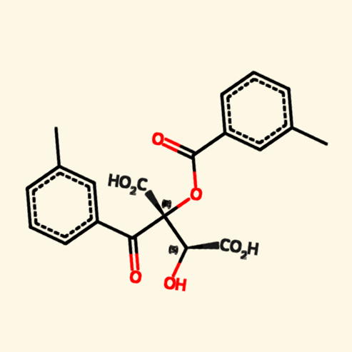 Cc1cccc(C(=O)O[C@@](C(=O)O)(C(=O)c2cccc(C)c2)[C@H](O)C(=O)O)c1